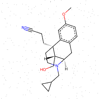 COc1ccc2c(c1)[C@]1(CCC#N)CCN(CC3CC3)[C@H](C2)[C@@H]1CO